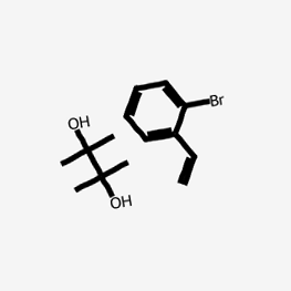 C=Cc1ccccc1Br.CC(C)(O)C(C)(C)O